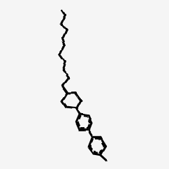 CCCCCCCCCCCC1CCC(c2ccc(-c3ccc(C)cc3)cc2)CC1